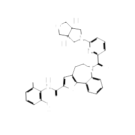 Cc1cccc(F)c1NC(=O)c1cc2c(s1)-c1ccccc1N(C(=O)c1cccc(N3C[C@H]4COC[C@H]4C3)n1)CC2